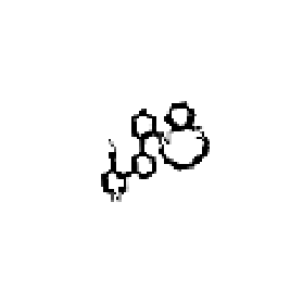 N#Cc1ccncc1C1=CC(C2=C(N3C/C=C\C=C/CSc4ccccc43)CCC=C2)CCC1